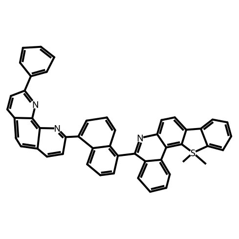 CS1(C)c2ccccc2-c2ccc3nc(-c4cccc5c(-c6ccc7ccc8ccc(-c9ccccc9)nc8c7n6)cccc45)c4ccccc4c3c21